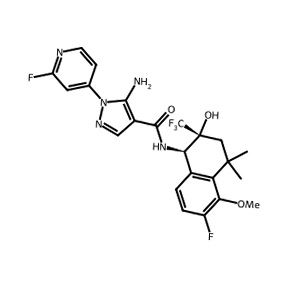 COc1c(F)ccc2c1C(C)(C)C[C@](O)(C(F)(F)F)[C@@H]2NC(=O)c1cnn(-c2ccnc(F)c2)c1N